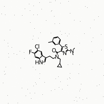 Cc1cccc(-c2sc(N(C)C)nc2C(=O)N(CCc2c[nH]c3cc(F)c(Cl)cc23)CC2CC2)c1